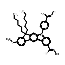 CCCCCCC1(CCCCCC)c2cc(OC)ccc2-c2cc3c4cc(/C(C)=N/O)ccc4n(-c4ccc(/C(C)=N/O)cc4)c3cc21